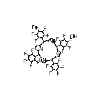 Cl.Fc1c(F)c(F)c(-c2c3nc(c(-c4c(F)c(F)c(F)c(F)c4F)c4ccc([nH]4)c(-c4c(F)c(F)c(F)c(F)c4F)c4nc(c(-c5c(F)c(F)c(F)c(F)c5F)c5ccc2[nH]5)C=C4)C=C3)c(F)c1F.[Fe]